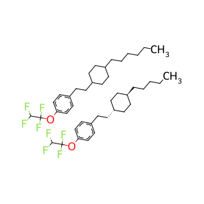 CCCCCCC1CCC(CCc2ccc(OC(F)(F)C(F)F)cc2)CC1.CCCCC[C@H]1CC[C@H](CCc2ccc(OC(F)(F)C(F)F)cc2)CC1